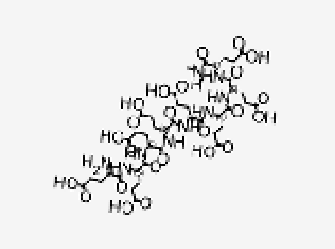 CNC(=O)[C@H](CCC(=O)O)NC(=O)[C@H](CCC(=O)O)NC(=O)[C@H](CCC(=O)O)NC(=O)[C@H](CCC(=O)O)NC(=O)[C@H](CCC(=O)O)NC(=O)[C@H](CCC(=O)O)NC(=O)[C@H](CCC(=O)O)NC(=O)[C@@H](N)CCC(=O)O